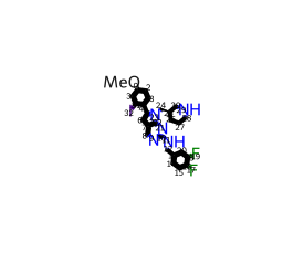 COc1ccc(-c2cc3cnc(NCc4ccc(F)c(F)c4)nc3n2C[C@@H]2CCCNC2)c(I)c1